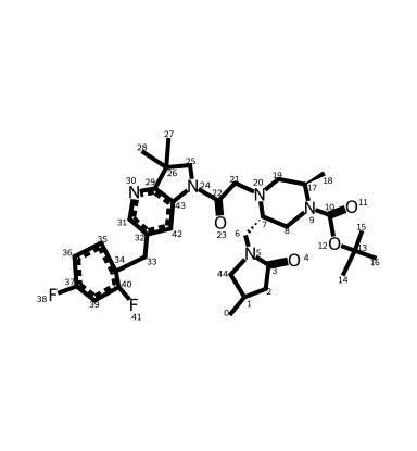 CC1CC(=O)N(C[C@H]2CN(C(=O)OC(C)(C)C)[C@H](C)CN2CC(=O)N2CC(C)(C)c3ncc(Cc4ccc(F)cc4F)cc32)C1